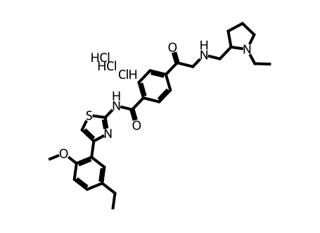 CCc1ccc(OC)c(-c2csc(NC(=O)c3ccc(C(=O)CNCC4CCCN4CC)cc3)n2)c1.Cl.Cl.Cl